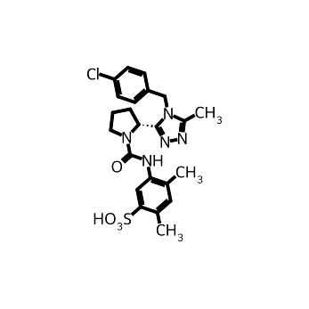 Cc1cc(C)c(S(=O)(=O)O)cc1NC(=O)N1CCC[C@@H]1c1nnc(C)n1Cc1ccc(Cl)cc1